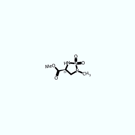 COC(=O)[C@@H]1CN(C)S(=O)(=O)N1